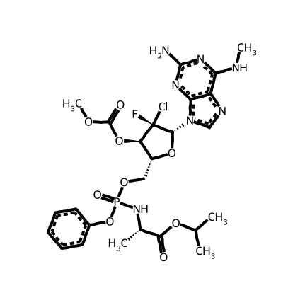 CNc1nc(N)nc2c1ncn2[C@@H]1O[C@H](COP(=O)(N[C@@H](C)C(=O)OC(C)C)Oc2ccccc2)[C@@H](OC(=O)OC)[C@]1(F)Cl